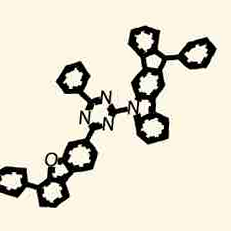 c1ccc(-c2nc(-c3ccc4c(c3)oc3c(-c5ccccc5)cccc34)nc(-n3c4ccccc4c4cc5c(cc43)-c3ccccc3C5c3ccccc3)n2)cc1